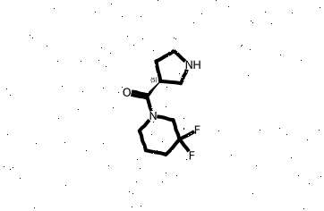 O=C([C@H]1CCNC1)N1CCCC(F)(F)C1